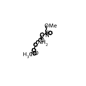 COCCCn1c(C2CCCN(C(=O)CC(N)Cc3ccc(-c4ccc5c(c4)OCCN5C)cc3)C2)nc2ccccc21